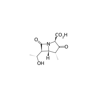 C[C@@H](O)[C@H]1C(=O)N2[C@@H](C(=O)O)C(=O)[C@H](C)[C@H]12